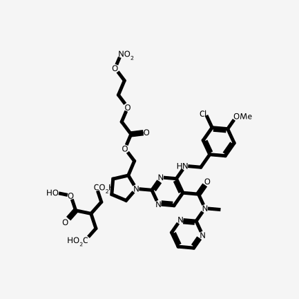 COc1ccc(CNc2nc(N3CCCC3COC(=O)COCCO[N+](=O)[O-])ncc2C(=O)N(C)c2ncccn2)cc1Cl.O=C(O)CC(CC(=O)O)C(=O)OO